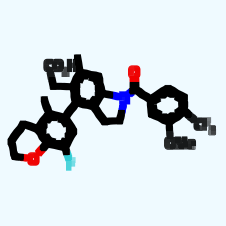 COc1cc(C(=O)N2CCc3c2cc(C)c(CC(=O)O)c3-c2cc(F)c3c(c2C)CCCO3)ccc1C(F)(F)F